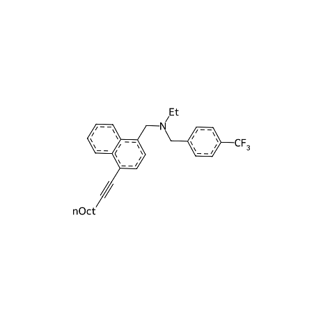 CCCCCCCCC#Cc1ccc(CN(CC)Cc2ccc(C(F)(F)F)cc2)c2ccccc12